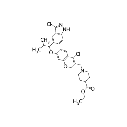 CCOC(=O)C1CCN(CC2=C(Cl)c3ccc(OC(c4ccc5[nH]nc(Cl)c5c4)C(C)C)cc3OC2)CC1